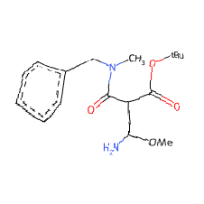 COC(N)C(C(=O)OC(C)(C)C)C(=O)N(C)Cc1ccccc1